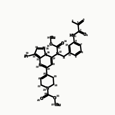 C=C(C)C(=O)Nc1cccc(CN(C(=O)OC(C)(C)C)c2cc(C3=CCN(C(=O)OC(C)(C)C)CC3)nc3c(C(C)C)cnn23)c1